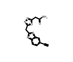 C#Cc1ccc2nc(Cc3nnc(CC(N)=O)o3)sc2c1